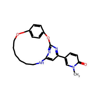 Cn1cc(-c2cc3nc(n2)Oc2ccc(cc2)OCCCCCCN3)ccc1=O